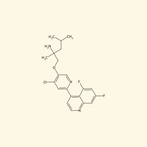 CC(C)CC(C)(N)COc1cnc(-c2ccnc3cc(F)cc(F)c23)cc1Cl